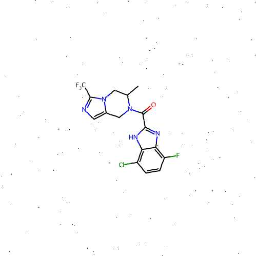 CC1Cn2c(cnc2C(F)(F)F)CN1C(=O)c1nc2c(F)ccc(Cl)c2[nH]1